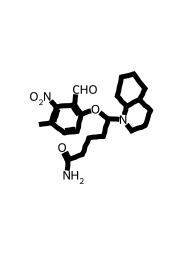 Cc1ccc(OC(CCCC(N)=O)N2CCCC3CCCCC32)c(C=O)c1[N+](=O)[O-]